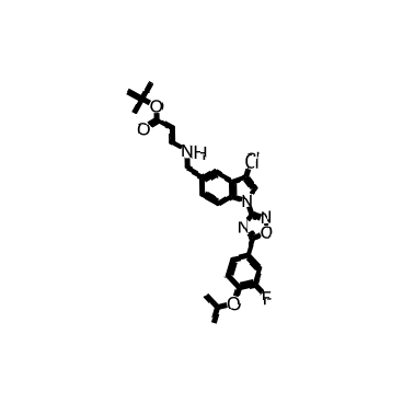 CC(C)Oc1ccc(-c2nc(-n3cc(Cl)c4cc(CNCCC(=O)OC(C)(C)C)ccc43)no2)cc1F